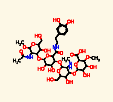 CNC1C(OC2C(C(=O)NCCc3ccc(O)c(O)c3)OC(OC3C(O)C(CO)OC(OC)C3NC(C)=O)C(O)C2O)OC(CO)C(O)C1OC1OC(C(=O)O)C(OC)C(O)C1O